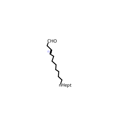 CCCCCCCCCCCCCC/C=C/CC=O